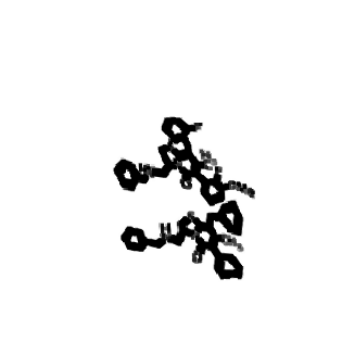 COc1cccc(-c2c(C)c(Cc3c(F)cccc3F)c3n(c2=O)C(CNCc2ccccc2)CS3)c1F.Cc1c(Cc2ccccc2)c2n(c(=O)c1-c1ccccc1)C(CNCc1ccccc1)CS2